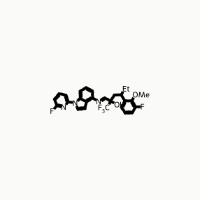 CCC(CC(O)(C=Nc1cccc2c1ccn2-c1cccc(F)n1)C(F)(F)F)c1cccc(F)c1OC